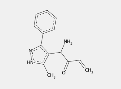 C=CC(=O)C(N)c1c(-c2ccccc2)n[nH]c1C